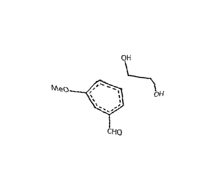 COc1cccc(C=O)c1.OCCO